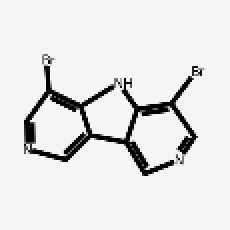 Brc1cncc2c1[nH]c1c(Br)cncc12